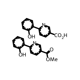 COC(=O)c1ccc(-c2ccccc2O)nc1.O=C(O)c1ccc(-c2ccccc2O)nc1